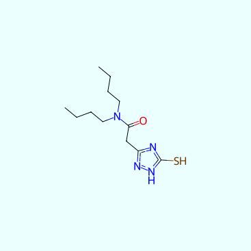 CCCCN(CCCC)C(=O)Cc1n[nH]c(S)n1